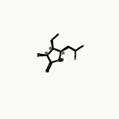 CC[C@@H]1[C@H](F)C(=O)N[C@@H]1CC(C)C